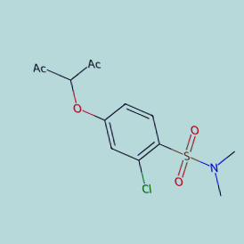 CC(=O)C(Oc1ccc(S(=O)(=O)N(C)C)c(Cl)c1)C(C)=O